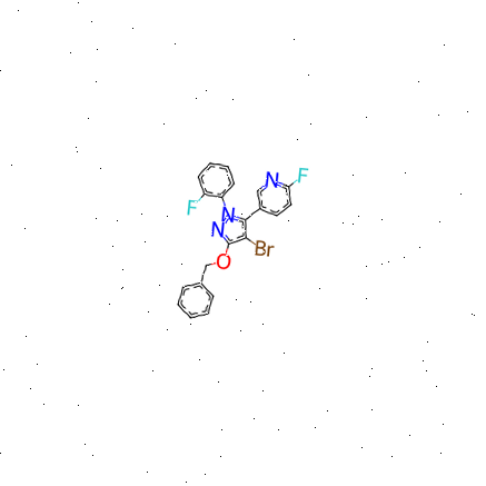 Fc1ccc(-c2c(Br)c(OCc3ccccc3)nn2-c2ccccc2F)cn1